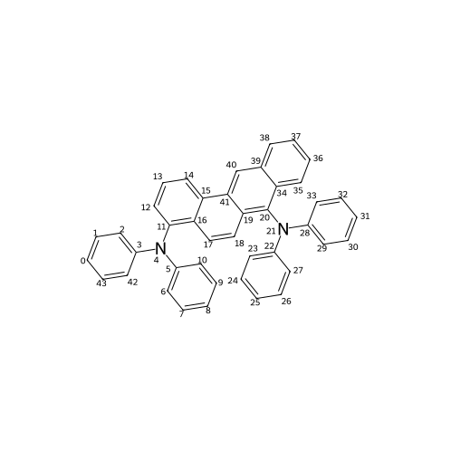 c1ccc(N(c2ccccc2)c2cccc3c2ccc2c(N(c4ccccc4)c4ccccc4)c4ccccc4cc23)cc1